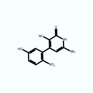 CC(C)(C)c1cc(-c2cc(O)ccc2[N+](=O)[O-])c(C#N)c(=O)[nH]1